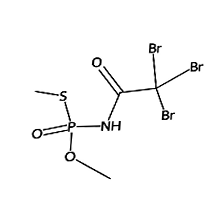 COP(=O)(NC(=O)C(Br)(Br)Br)SC